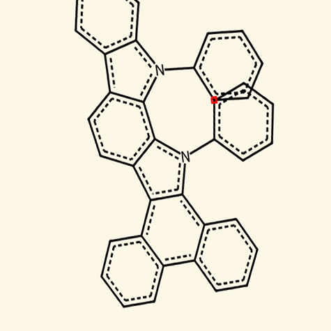 c1ccc(-n2c3ccccc3c3ccc4c5c6ccccc6c6ccccc6c5n(-c5ccccc5)c4c32)cc1